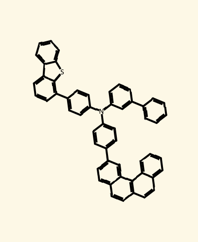 c1ccc(-c2cccc(N(c3ccc(-c4ccc5ccc6ccc7ccccc7c6c5c4)cc3)c3ccc(-c4cccc5c4sc4ccccc45)cc3)c2)cc1